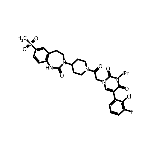 CC(C)n1c(=O)c(-c2cccc(F)c2Cl)cn(CC(=O)N2CCC(N3CCc4cc(S(C)(=O)=O)ccc4NC3=O)CC2)c1=O